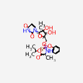 CC(C)OC(=O)[C@@H](C)NP(=S)(OC[C@H]1O[C@@H](n2ccc(=O)[nH]c2=O)[C@](C)(O)[C@@H]1O)Oc1ccccc1